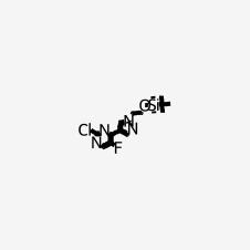 CC(C)(C)[Si](C)(C)OCCn1cc(-c2nc(Cl)ncc2F)cn1